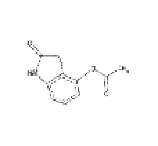 CC(=O)Oc1cccc2c1CC(=O)N2